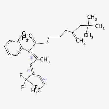 C=C(CCCCC(=C)/C(=C(C)/C=C(\C=C/C)C(F)(F)F)c1ccccc1C)CC(C)(C)C